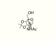 CC(=O)N[C@@]12COC(CO)(CN1)C1OC(C)(C)OC12